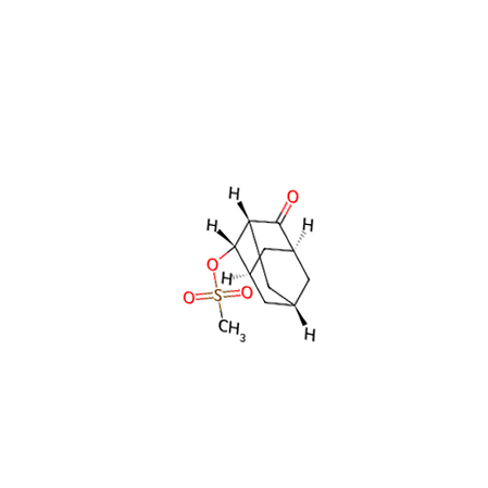 CS(=O)(=O)O[C@H]1[C@@H]2C[C@H]3C[C@@H](C2)C(=O)[C@@H]1C3